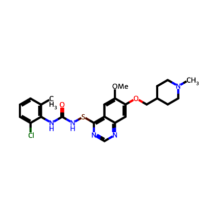 COc1cc2c(SNC(=O)Nc3c(C)cccc3Cl)ncnc2cc1OCC1CCN(C)CC1